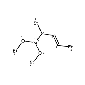 CCC=CC(CC)[SiH](OCC)OCC